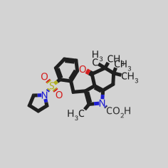 Cc1c(Cc2ccccc2S(=O)(=O)N2CCCC2)c2c(n1C(=O)O)CC(C)(C)C(C)(C)C2=O